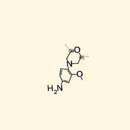 COc1cc(N)ccc1N1C[C@@H](C)O[C@@H](C)C1